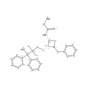 CC(C)(C)OC(=O)N[C@@H]1CN(Cc2ccccc2)[C@@H]1CCC(C)(C)[Si](O)(c1ccccc1)c1ccccc1